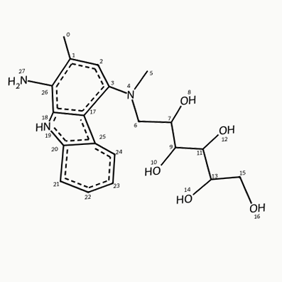 Cc1cc(N(C)CC(O)C(O)C(O)C(O)CO)c2c([nH]c3ccccc32)c1N